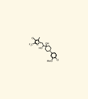 COc1cc(N2CCC(O)(C(O)Cn3nc(C(F)(F)F)c(Cl)c3C)CC2)ccc1Cl